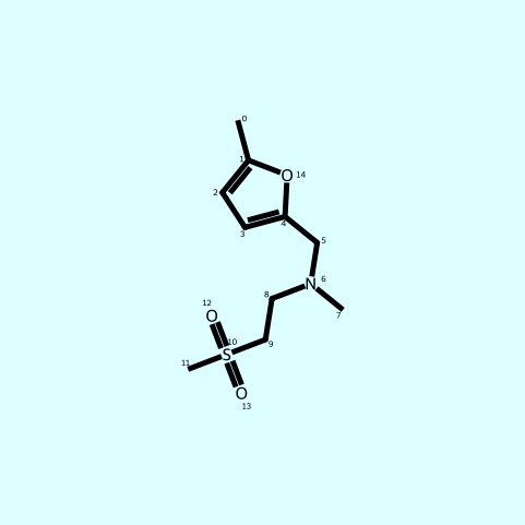 Cc1ccc(CN(C)CCS(C)(=O)=O)o1